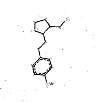 COc1ccc(CCC2NCCC2CO)cc1